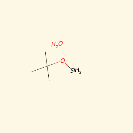 CC(C)(C)O[SiH3].O